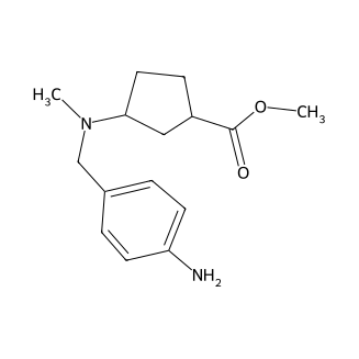 COC(=O)C1CCC(N(C)Cc2ccc(N)cc2)C1